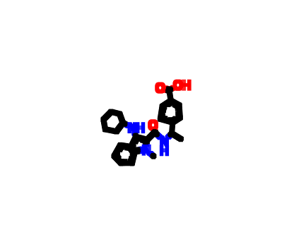 CC(NC(=O)c1c(NC2CCCCC2)c2ccccc2n1C)c1ccc(C(=O)O)cc1